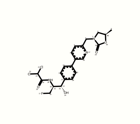 C[C@@H]1CN(Cc2ccc(-c3ccc([C@H](O)[C@@H](CF)NC(=O)C(Cl)Cl)cc3)cn2)C(=O)O1